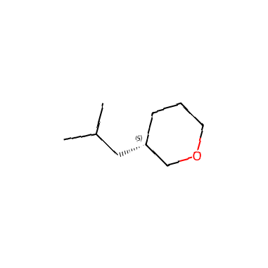 CC(C)C[C@@H]1CCCOC1